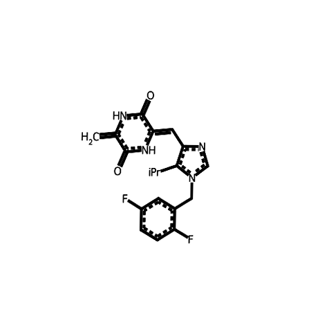 C=c1[nH]c(=O)c(=Cc2ncn(Cc3cc(F)ccc3F)c2C(C)C)[nH]c1=O